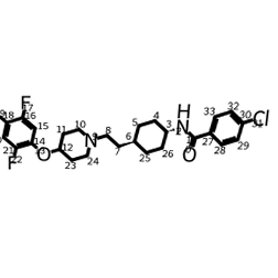 O=C(N[C@H]1CC[C@H](CCN2CCC(Oc3cc(F)c(F)cc3F)CC2)CC1)c1ccc(Cl)cc1